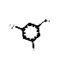 CC[C@H](C)c1cc(F)cc(C(F)(F)F)c1